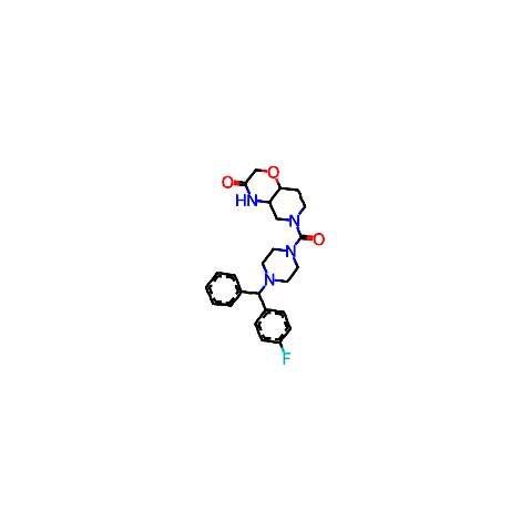 O=C1COC2CCN(C(=O)N3CCN(C(c4ccccc4)c4ccc(F)cc4)CC3)CC2N1